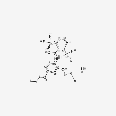 CCCOc1ccc(PC(=O)c2c(C(F)(F)F)cccc2C(F)(F)F)c(OCCC)c1.[LiH]